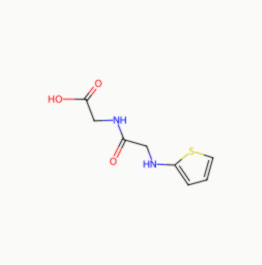 O=C(O)CNC(=O)CNc1cccs1